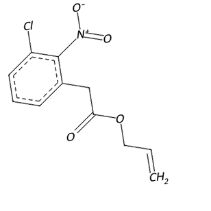 C=CCOC(=O)Cc1cccc(Cl)c1[N+](=O)[O-]